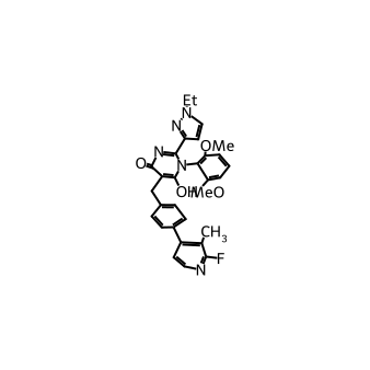 CCn1ccc(-c2nc(=O)c(Cc3ccc(-c4ccnc(F)c4C)cc3)c(O)n2-c2c(OC)cccc2OC)n1